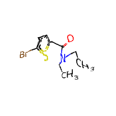 CCN(CC)C(=O)c1ccc(Br)s1